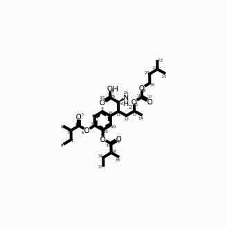 CCC(C)C(=O)Oc1ccc(C(CC(C)OC(=O)OCCC(C)C)[C@H](N)C(=O)O)cc1OC(=O)C(C)CC